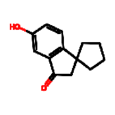 O=C1CC2(CCCC2)c2ccc(O)cc21